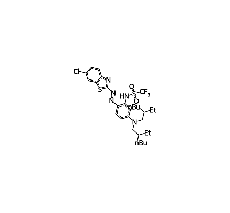 CCCCC(CC)CN(CC(CC)CCCC)c1ccc(/N=N/c2nc3ccc(Cl)cc3s2)c(NS(=O)(=O)C(F)(F)F)c1